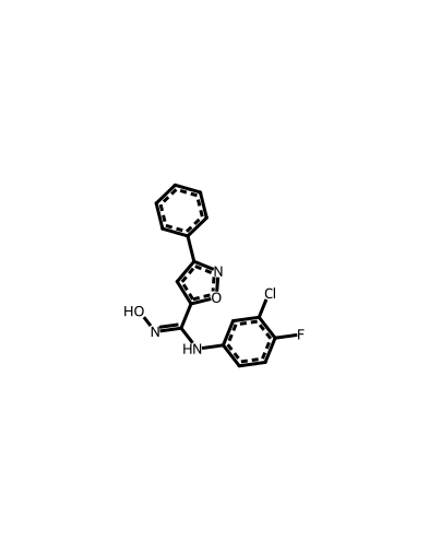 O/N=C(/Nc1ccc(F)c(Cl)c1)c1cc(-c2ccccc2)no1